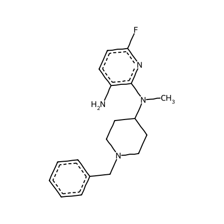 CN(c1nc(F)ccc1N)C1CCN(Cc2ccccc2)CC1